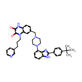 CC(C)(C)c1ccc(-c2nc3c(N4CCN(Cc5ccc6[nH]c(=O)c(=O)n(CCCc7cccnc7)c6c5)CC4)cccc3[nH]2)cc1